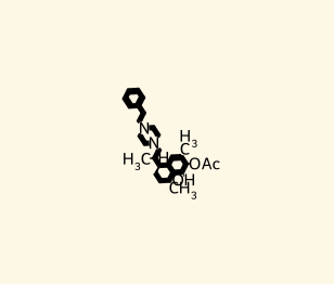 CC(=O)O[C@@H]1[C][C@@]2(O)[C@H](C)CC[C@@H]([C@H](C)CN3CCN(CCc4ccccc4)CC3)[C@H]2C=C1C